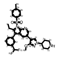 CCc1c(-c2cccc(C(F)F)c2)c2cc(-c3cn(C4CCNCC4)nc3OC)cnc2n1S(=O)(=O)c1ccc(C)cc1